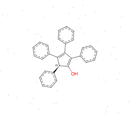 OC1=C(c2ccccc2)C(c2ccccc2)=C(c2ccccc2)[C@@H]1c1ccccc1